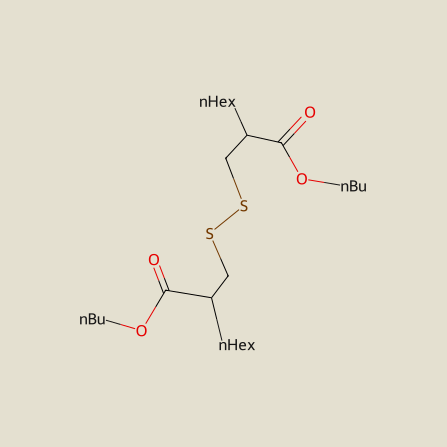 CCCCCCC(CSSCC(CCCCCC)C(=O)OCCCC)C(=O)OCCCC